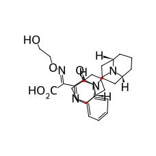 O=C(O)/C(=N\OCCO)c1nc2ccccc2n(C2C[C@H]3CCC[C@@H](C2)N3C2C[C@H]3CCC[C@@H](C2)C3)c1=O